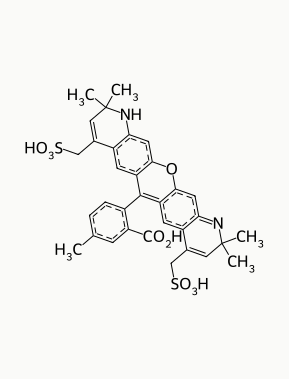 Cc1ccc(C2=c3cc4c(cc3Oc3cc5c(cc32)C(CS(=O)(=O)O)=CC(C)(C)N5)=NC(C)(C)C=C4CS(=O)(=O)O)c(C(=O)O)c1